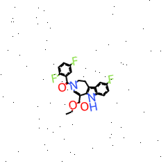 CCOC(=O)C1=CN(C(=O)c2cc(F)ccc2F)CCc2c1[nH]c1ccc(F)cc21